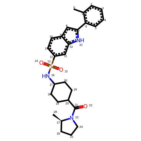 Cc1ccccc1-c1cc2ccc(S(=O)(=O)NC3CCC(C(=O)N4CCC[C@H]4C)CC3)cc2[nH]1